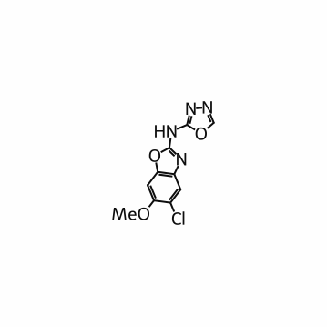 COc1cc2oc(Nc3nnco3)nc2cc1Cl